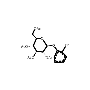 CC(=O)OC[C@H]1O[C@@H](Oc2ccccc2Br)[C@H](OC(C)=O)[C@@H](OC(C)=O)[C@@H]1OC(C)=O